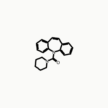 O=C(N1CCCCC1)N1c2ccccc2C=Cc2ccccc21